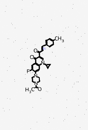 CC(=O)N1CCN(c2cc3c(cc2F)c(=O)c(C(=O)/C=C/c2ccc(C)cc2)cn3C2CC2)CC1